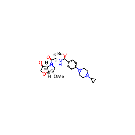 CC[C@H](C)[C@H](NC(=O)c1ccc(N2CCN(C3CC3)CC2)cc1)C(=O)N1C[C@H](OC)[C@H]2OCC(=O)[C@H]21